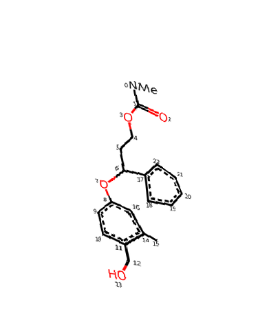 CNC(=O)OCCC(Oc1ccc(CO)c(C)c1)c1ccccc1